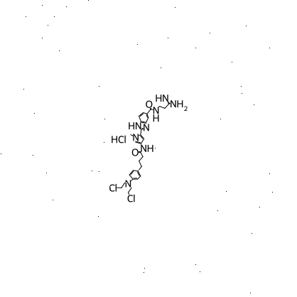 Cl.Cn1cc(NC(=O)CCCc2ccc(N(CCCl)CCCl)cc2)cc1-c1nc2cc(C(=O)NCCC(=N)N)ccc2[nH]1